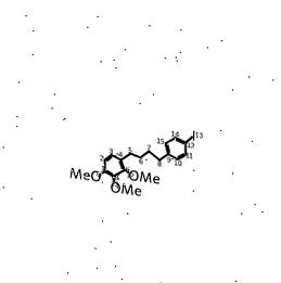 COc1c[c]c(CCCCc2ccc(I)cc2)c(OC)c1OC